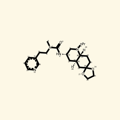 CCCN1C[C@@H](NC(=O)N(C)CCc2cccnc2)C[C@@H]2CC3(CC[C@H]21)OCCO3